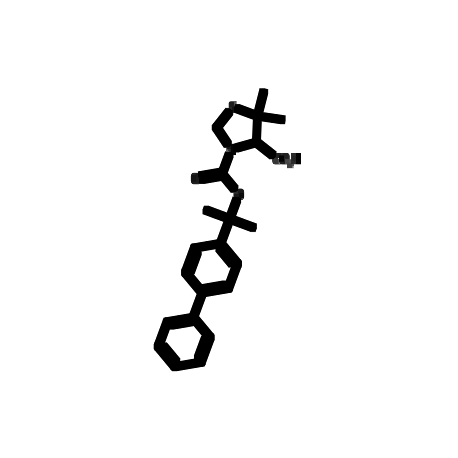 CC(C)(OC(=O)N1CSC(C)(C)C1C(=O)O)c1ccc(-c2ccccc2)cc1